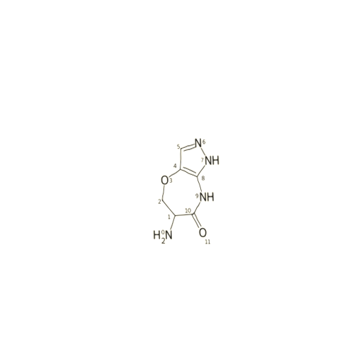 NC1COc2cn[nH]c2NC1=O